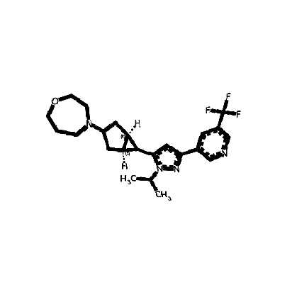 CC(C)n1nc(-c2cncc(C(F)(F)F)c2)cc1C1[C@H]2CC(N3CCCOCC3)C[C@@H]12